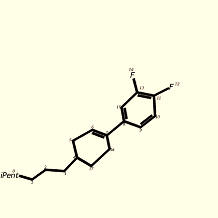 CCCC(C)CCCC1CC=C(c2ccc(F)c(F)c2)CC1